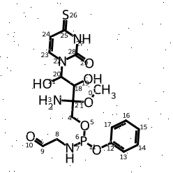 COC(N)(COP(NCC=O)Oc1ccccc1)C(O)C(O)n1ccc(=S)[nH]c1=O